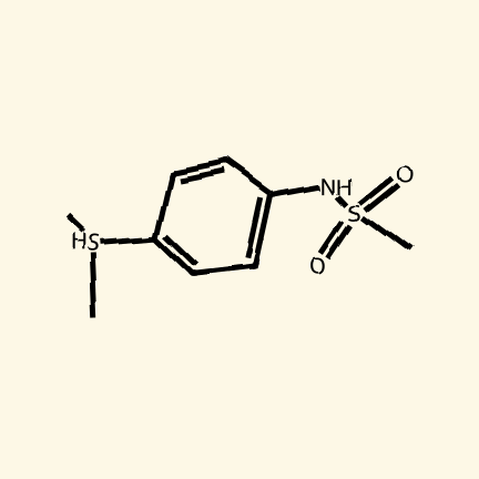 C[SH](C)c1ccc(NS(C)(=O)=O)cc1